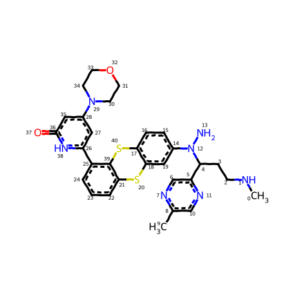 CNCCC(c1cnc(C)cn1)N(N)c1ccc2c(c1)Sc1cccc(-c3cc(N4CCOCC4)cc(=O)[nH]3)c1S2